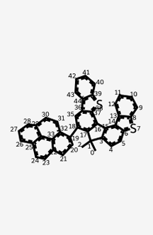 CC1(C)c2ccc3sc4ccccc4c3c2-c2c1c(-c1ccc3ccc4cccc5ccc1c3c45)cc1c2sc2ccccc21